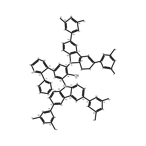 Cc1cc(C)cc(C2=Cc3c(n(-c4cc(-c5cccnc5-c5ccccc5)cc(-n5c6ccc(-c7cc(C)cc(C)c7)cc6c6cc(-c7cc(C)cc(C)c7)ccc65)c4C#N)c4ccc(-c5cc(C)cc(C)c5)cc34)CC2)c1